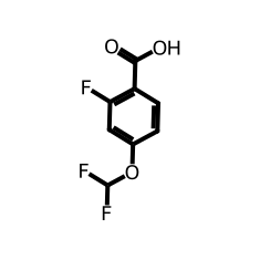 O=C(O)c1ccc(OC(F)F)cc1F